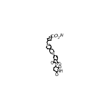 O=C1CCC(N2C(=O)c3ccc(N4CCC5(CCN(CC6CN(C(=O)O)C6)CC5)CC4)cc3C2=O)C(=O)N1